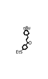 CCCCc1ccc(/C=C/C(=O)c2ccc(SCC)cc2)cc1